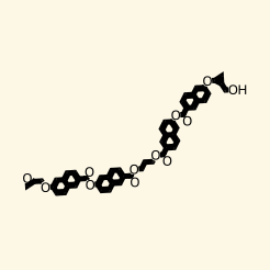 O=C(OCCCOC(=O)c1ccc2cc(OC(=O)c3ccc4cc(OC5CC5CO)ccc4c3)ccc2c1)c1ccc2cc(OC(=O)c3ccc4cc(OCC5CO5)ccc4c3)ccc2c1